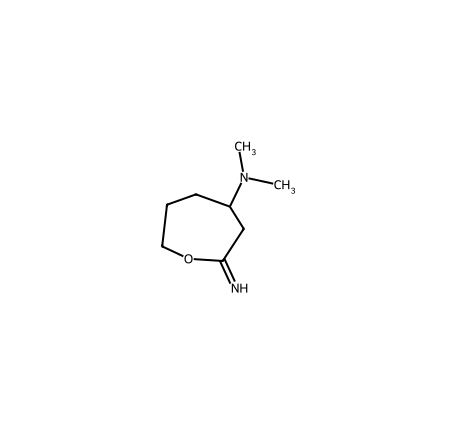 CN(C)C1CCCOC(=N)C1